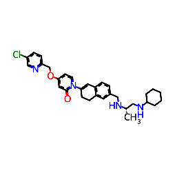 C[C@@H](CNC1CCCCC1)NCc1ccc2c(c1)CCC(n1ccc(OCc3ccc(Cl)cn3)cc1=O)=C2